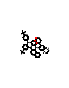 Cc1cc2c3c(c1)N(c1cc4c(cc1-c1ccccc1)OCCO4)c1c(ccc4ccccc14)B3c1cc(C(C)(C)C)ccc1N2c1ccc(C(C)(C)C)cc1